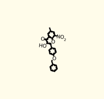 Cc1cc([N+](=O)[O-])c2oc(-c3ccc(OCc4ccccc4)cc3)c(O)c(=O)c2c1